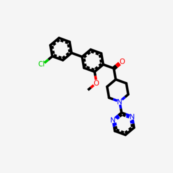 COc1cc(-c2cccc(Cl)c2)ccc1C(=O)C1CCN(c2ncccn2)CC1